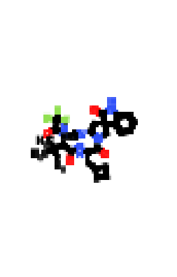 C#[N+][C@@H]1C[C@@]2(CN1C(=O)[C@H](CC1CCC1)NC(=O)[C@@H](NC(=O)C(F)(F)F)C(C)(C)C)C(=O)Nc1ccccc12